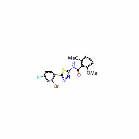 COc1cccc(OC)c1C(=O)Nc1nnc(-c2ccc(F)cc2Br)s1